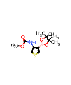 CC(C)(C)OC(=O)Nc1cscc1B1OC(C)(C)C(C)(C)O1